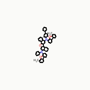 Cc1cccc2c1oc1c(N(c3ccc(-c4ccccc4)cc3)c3cc4c(oc5cc(N(c6ccccc6)c6cccc7c6oc6c(C)cccc67)c6ccccc6c54)c4ccccc34)cccc12